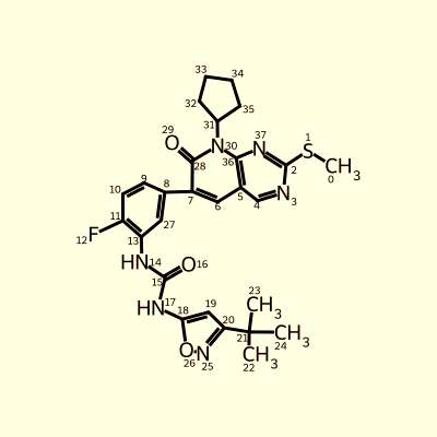 CSc1ncc2cc(-c3ccc(F)c(NC(=O)Nc4cc(C(C)(C)C)no4)c3)c(=O)n(C3CCCC3)c2n1